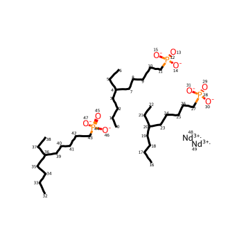 CCCCC(CC)CCCCCP(=O)([O-])[O-].CCCCC(CC)CCCCCP(=O)([O-])[O-].CCCCC(CC)CCCCCP(=O)([O-])[O-].[Nd+3].[Nd+3]